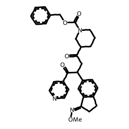 CON=C1CCc2ccc(C(CC(=O)C3CCCN(C(=O)OCc4ccccc4)C3)C(=O)c3ccncc3)cc21